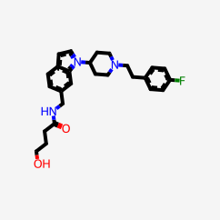 O=C(CCCO)NCc1ccc2ccn(C3CCN(CCc4ccc(F)cc4)CC3)c2c1